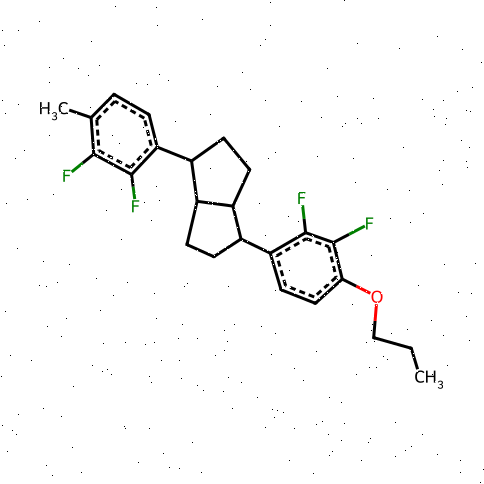 CCCOc1ccc(C2CCC3C(c4ccc(C)c(F)c4F)CCC23)c(F)c1F